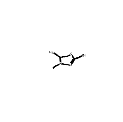 CN1N=C(S)SC1S